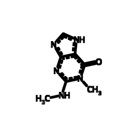 CNc1nc2nc[nH]c2c(=O)n1C